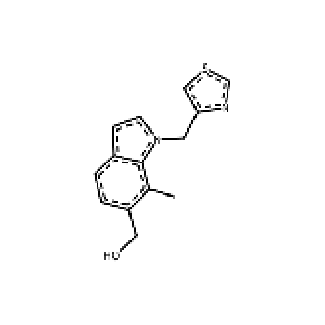 Cc1c(CO)ccc2ccn(Cc3cscn3)c12